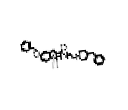 O=C(NCCN1CCC(Cc2ccccc2)CC1)c1cc2cc(OCc3ccccc3)ccc2[nH]1